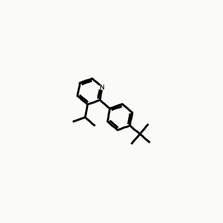 CC(C)c1cccnc1-c1ccc(C(C)(C)C)cc1